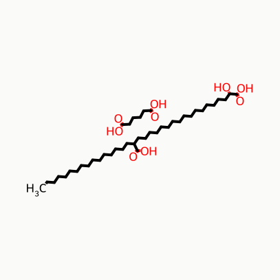 CCCCCCCCCCCCCCCCC(CCCCCCCCCCCCCCCCC(O)C(=O)O)C(=O)O.O=C(O)CCCCC(=O)O